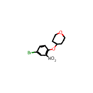 O=[N+]([O-])c1cc(Br)ccc1OC1CCOCC1